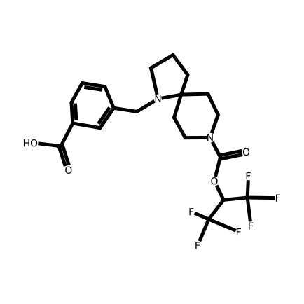 O=C(O)c1cccc(CN2CCCC23CCN(C(=O)OC(C(F)(F)F)C(F)(F)F)CC3)c1